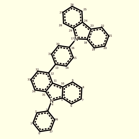 c1ccc(-n2c3ccccc3c3c(-c4ccc(-n5c6ccccc6c6ccccc65)cc4)cccc32)cc1